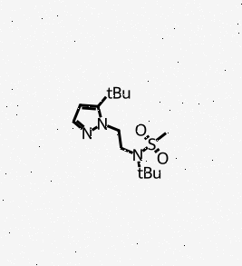 CC(C)(C)c1ccnn1CCN(C(C)(C)C)S(C)(=O)=O